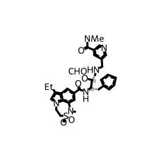 CCc1cn2c3c(cc(C(=O)N[C@@H](Cc4ccccc4)[C@@H](CNCc4cncc(C(=O)NC)c4)OC=O)cc13)N(C)S(=O)(=O)CC2